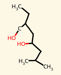 CCC(CO)CC(O)CC(C)C